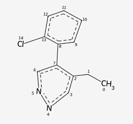 CCc1cnn[c]c1-c1ccccc1Cl